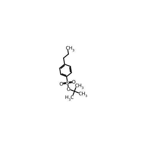 CCCc1ccc(S(=O)(=O)OC(C)(C)C)cc1